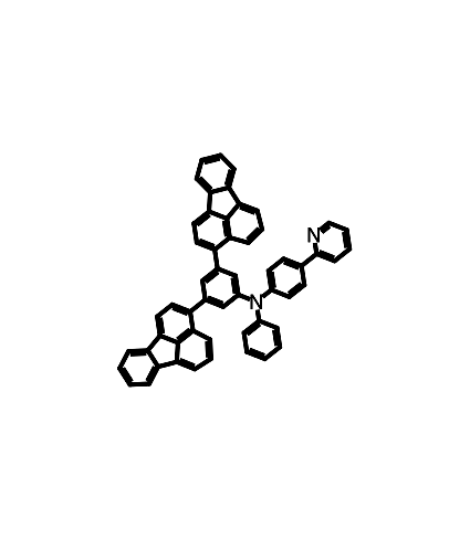 c1ccc(N(c2ccc(-c3ccccn3)cc2)c2cc(-c3ccc4c5c(cccc35)-c3ccccc3-4)cc(-c3ccc4c5c(cccc35)-c3ccccc3-4)c2)cc1